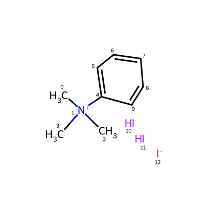 C[N+](C)(C)c1ccccc1.I.I.[I-]